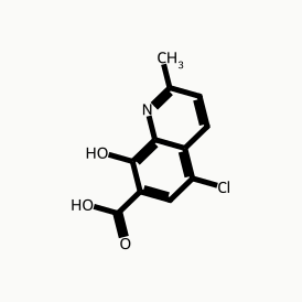 Cc1ccc2c(Cl)cc(C(=O)O)c(O)c2n1